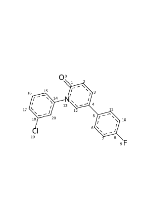 O=c1ccc(-c2ccc(F)cc2)cn1-c1cccc(Cl)c1